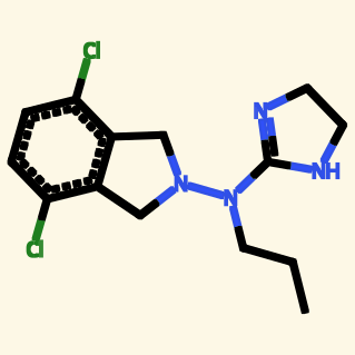 CCCN(C1=NCCN1)N1Cc2c(Cl)ccc(Cl)c2C1